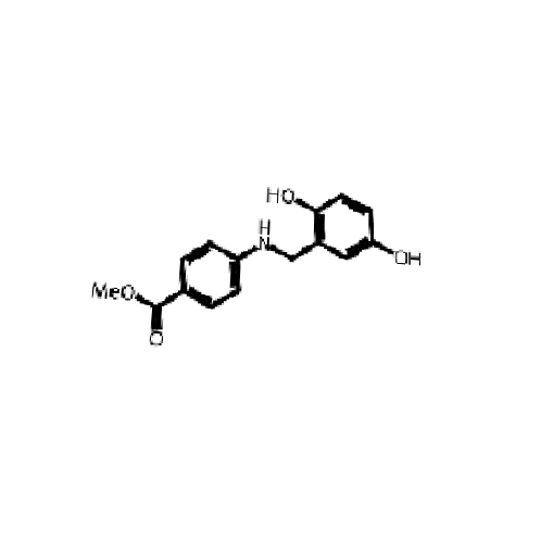 COC(=O)c1ccc(NCc2cc(O)ccc2O)cc1